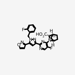 O=C(O)[C@@H]1[C@H]2CC[C@H](C2)N1c1nc(-c2cc(-c3ccon3)n(Cc3ccccc3F)n2)ncc1F